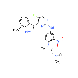 Cc1cccc2c(-c3nc(Nc4ccc(N(C)CCN(C)C)c([N+](=O)[O-])c4)ncc3F)c[nH]c12